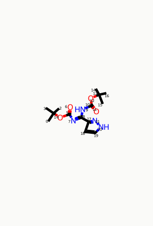 CC(C)(C)OC(=O)N=C(NC(=O)OC(C)(C)C)c1cc[nH]n1